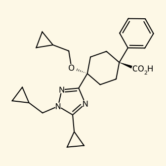 O=C(O)[C@]1(c2ccccc2)CC[C@](OCC2CC2)(c2nc(C3CC3)n(CC3CC3)n2)CC1